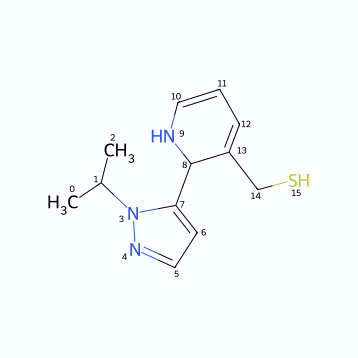 CC(C)n1nccc1C1NC=CC=C1CS